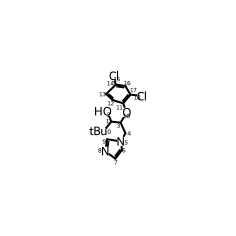 CC(C)(C)C(O)C(Cn1ccnc1)Oc1ccc(Cl)cc1Cl